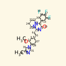 COc1cc(/C=C/C2=NC(=O)C(c3cc(F)c(F)c(F)c3)N3CCCCN23)ccc1-n1cnc(C)c1